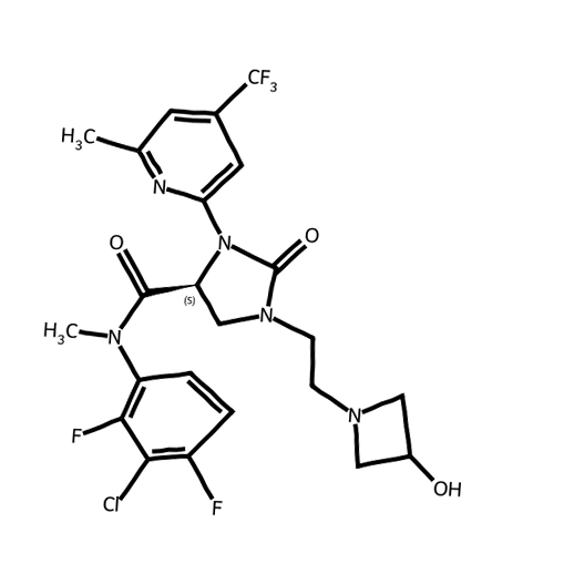 Cc1cc(C(F)(F)F)cc(N2C(=O)N(CCN3CC(O)C3)C[C@H]2C(=O)N(C)c2ccc(F)c(Cl)c2F)n1